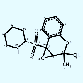 CC1(C)Oc2ccccc2[C@@]2(S(=O)(=O)[C@H]3CCCCN3)OC12